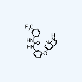 O=C(Nc1cccc(Oc2cnc3[nH]ccc3c2)c1)Nc1cccc(C(F)(F)F)c1